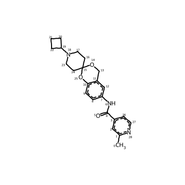 Cc1cc(C(=O)Nc2ccc3c(c2)COC2(CCN(C4CCC4)CC2)O3)ccn1